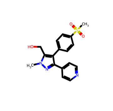 Cn1nc(-c2ccncc2)c(-c2ccc(S(C)(=O)=O)cc2)c1CO